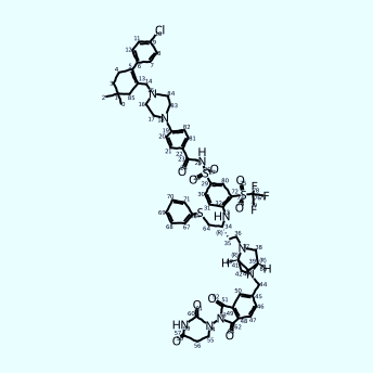 CC1(C)CCC(c2ccc(Cl)cc2)=C(CN2CCN(c3ccc(C(=O)NS(=O)(=O)c4ccc(N[C@H](CCN5C[C@H]6C[C@@H]5CN6Cc5ccc6c(c5)C(=O)N(N5CCC(=O)NC5=O)C6=O)CSc5ccccc5)c(S(=O)(=O)C(F)(F)F)c4)cc3)CC2)C1